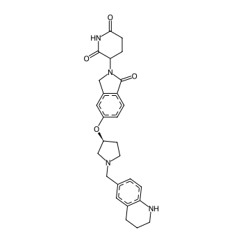 O=C1CCC(N2Cc3cc(O[C@H]4CCN(Cc5ccc6c(c5)CCCN6)C4)ccc3C2=O)C(=O)N1